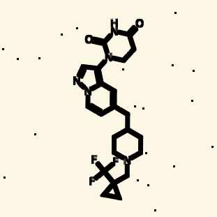 O=C1CCN(c2cnn3ccc(CC4CCN(CC5(C(F)(F)F)CC5)CC4)cc23)C(=O)N1